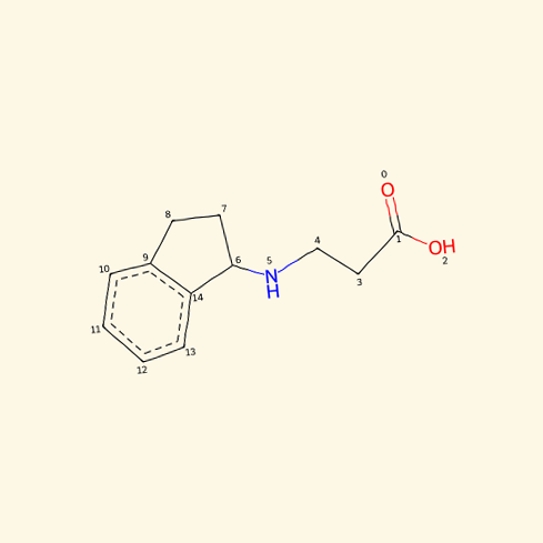 O=C(O)CCNC1CCc2ccccc21